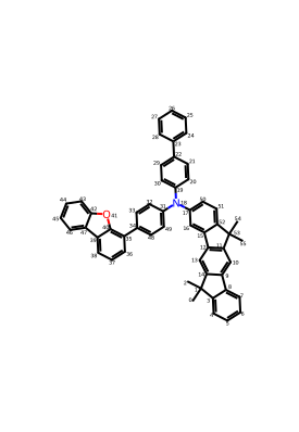 CC1(C)c2ccccc2-c2cc3c(cc21)-c1cc(N(c2ccc(-c4ccccc4)cc2)c2ccc(-c4cccc5c4oc4ccccc45)cc2)ccc1C3(C)C